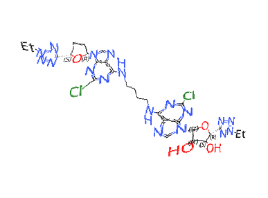 CCn1nnc([C@@H]2CC[C@H](n3cnc4c(NCCCCNc5nc(Cl)nc6c5ncn6[C@@H]5O[C@H](c6nnn(CC)n6)[C@@H](O)[C@H]5O)nc(Cl)nc43)O2)n1